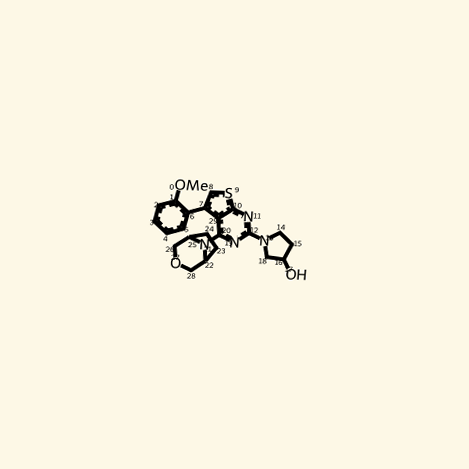 COc1ccccc1-c1csc2nc(N3CCC(O)C3)nc(N3C4CCC3COC4)c12